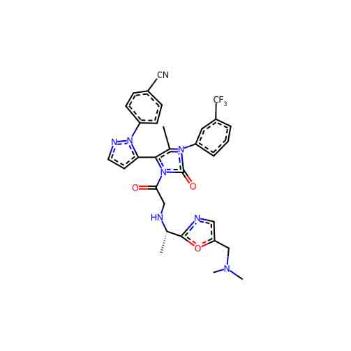 Cc1c(-c2ccnn2-c2ccc(C#N)cc2)n(C(=O)CN[C@@H](C)c2ncc(CN(C)C)o2)c(=O)n1-c1cccc(C(F)(F)F)c1